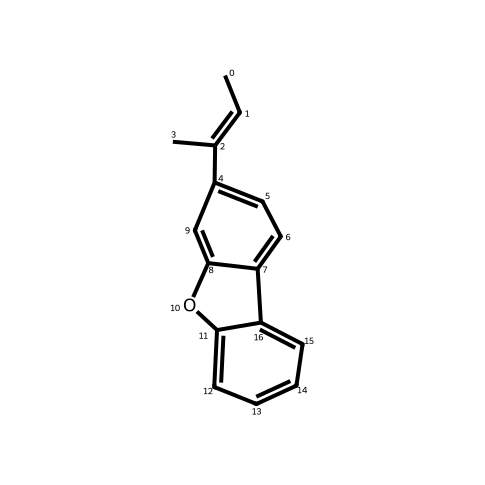 C/C=C(\C)c1ccc2c(c1)oc1ccccc12